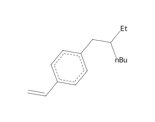 C=Cc1ccc(CC(CC)CCCC)cc1